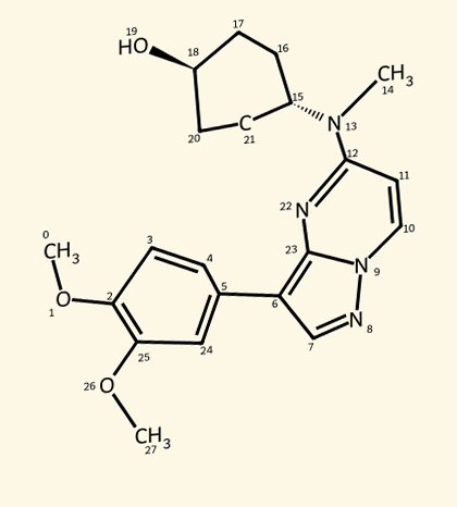 COc1ccc(-c2cnn3ccc(N(C)[C@H]4CC[C@H](O)CC4)nc23)cc1OC